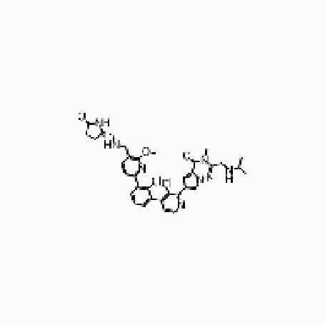 COc1nc(-c2cccc(-c3ccnc(-c4cc5c(=O)n(C)c(CNC(C)C)nn5c4)c3Cl)c2Cl)ccc1CNC[C@@H]1CCC(=O)N1